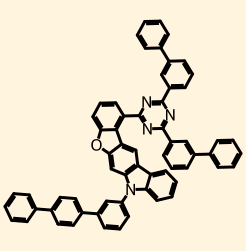 c1ccc(-c2ccc(-c3cccc(-n4c5ccccc5c5cc6c(cc54)oc4cccc(-c5nc(-c7cccc(-c8ccccc8)c7)nc(-c7cccc(-c8ccccc8)c7)n5)c46)c3)cc2)cc1